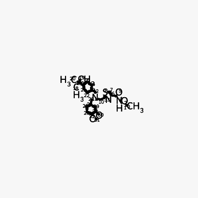 CCONC(=O)c1csc(CN(Cc2ccc(C(C)(C)C)cc2)Cc2ccc3c(c2)OCO3)n1